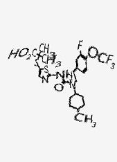 CC1CCC(N(CCc2ccc(OC(F)(F)F)c(F)c2)C(=O)Nc2ncc(SC(C)(C)C(=O)O)s2)CC1